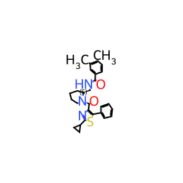 Cc1ccc(C(=O)NC[C@@H]2CCCCN2C(=O)c2nc(C3CC3)sc2-c2ccccc2)cc1C